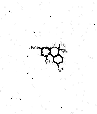 CCCCCc1cc(O)c2c(c1)OC(C)(C)C1=C2CC(O)CC1